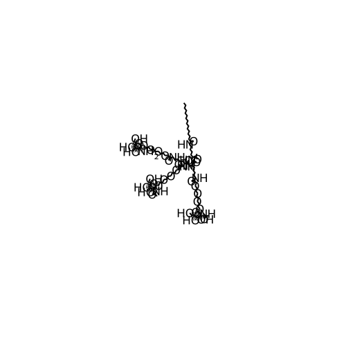 CCCCCCCCCCCCCCCC(=O)NCCCCC(NC(=O)C(CCCCNC(=O)COCCOCCOCCO[C@@H]1O[C@H](CO)[C@H](O)[C@H](O)[C@H]1NC(C)=O)NC(=O)C(CCCCNC(=O)COCCOCCOCCO[C@@H]1O[C@H](CO)[C@H](O)[C@H](O)[C@H]1N)NC(=O)COCCOCCOCCO[C@@H]1O[C@H](CO)[C@H](O)[C@H](O)[C@H]1NC(C)=O)C(C)=O